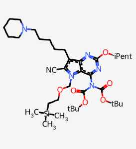 CCC[C@H](C)Oc1nc(N(C(=O)OC(C)(C)C)C(=O)OC(C)(C)C)c2c(n1)c(CCCCCN1CCCCC1)c(C#N)n2COCC[Si](C)(C)C